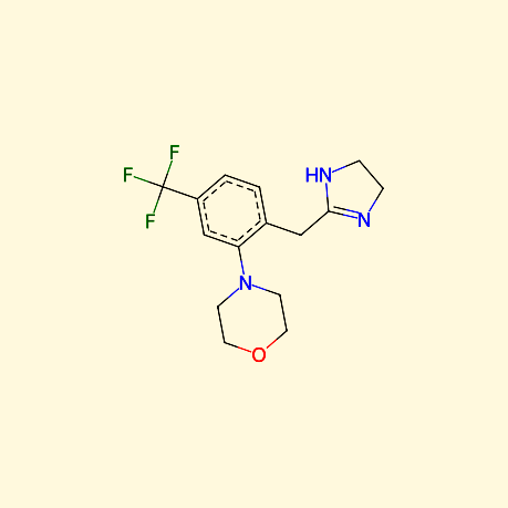 FC(F)(F)c1ccc(CC2=NCCN2)c(N2CCOCC2)c1